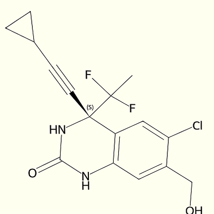 CC(F)(F)[C@@]1(C#CC2CC2)NC(=O)Nc2cc(CO)c(Cl)cc21